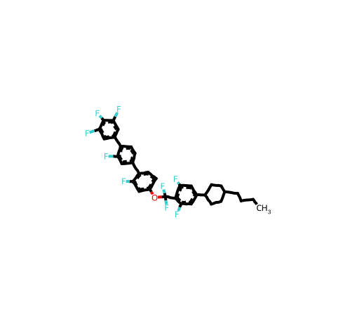 CCCCC1CCC(c2cc(F)c(C(F)(F)Oc3ccc(-c4ccc(-c5cc(F)c(F)c(F)c5)c(F)c4)c(F)c3)c(F)c2)CC1